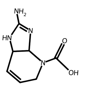 NC1=NC2C(C=CCN2C(=O)O)N1